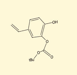 C=Cc1ccc(O)c(OC(=O)OC(C)(C)C)c1